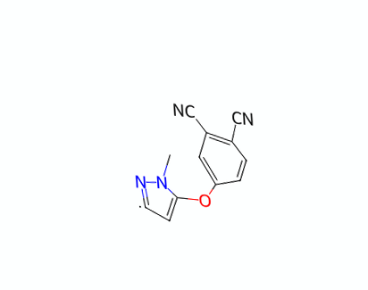 Cn1n[c]cc1Oc1ccc(C#N)c(C#N)c1